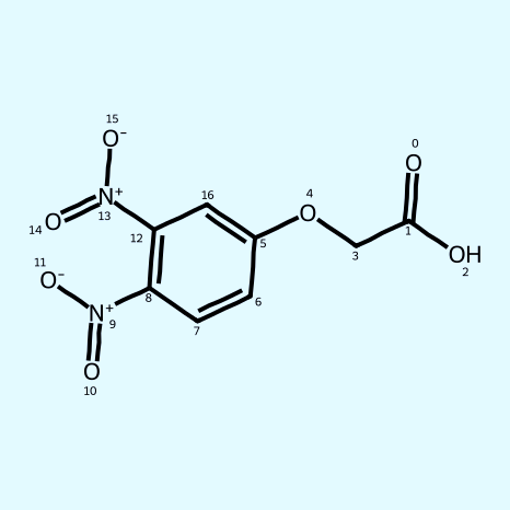 O=C(O)COc1ccc([N+](=O)[O-])c([N+](=O)[O-])c1